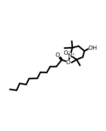 CCCCCCCCCCC(=O)O[N+]1([O-])C(C)(C)CC(O)CC1(C)C